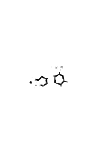 O=[N+]([O-])c1cc(Cl)c(F)cc1Oc1ccn2ncnc2c1